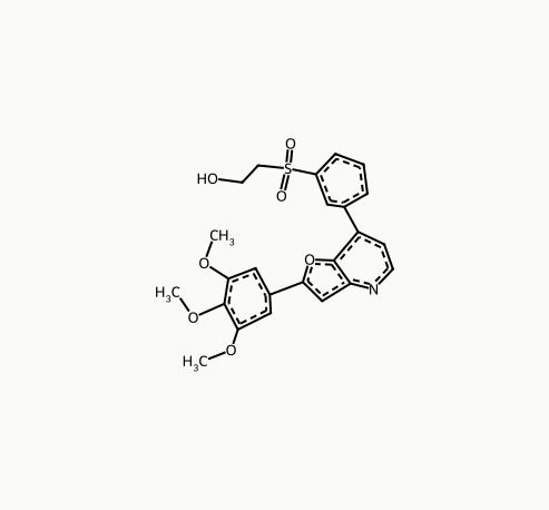 COc1cc(-c2cc3nccc(-c4cccc(S(=O)(=O)CCO)c4)c3o2)cc(OC)c1OC